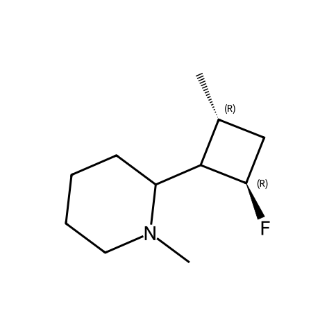 C[C@@H]1C[C@@H](F)C1C1CCCCN1C